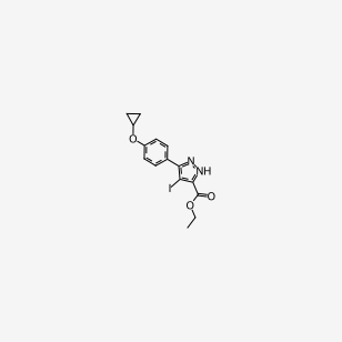 CCOC(=O)c1[nH]nc(-c2ccc(OC3CC3)cc2)c1I